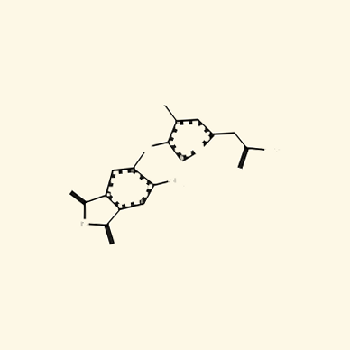 COC(=O)Cc1ccc(Oc2cc3c(cc2N)C(=O)NC3=O)c(Cl)c1